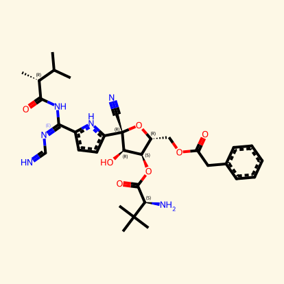 CC(C)[C@@H](C)C(=O)N/C(=N/C=N)c1ccc([C@]2(C#N)O[C@H](COC(=O)Cc3ccccc3)[C@@H](OC(=O)[C@@H](N)C(C)(C)C)[C@H]2O)[nH]1